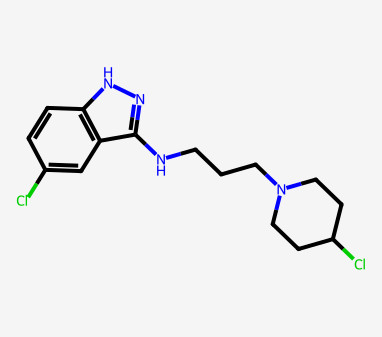 Clc1ccc2[nH]nc(NCCCN3CCC(Cl)CC3)c2c1